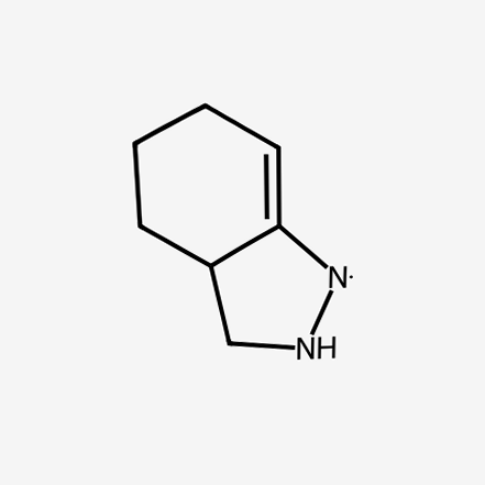 C1=C2[N]NCC2CCC1